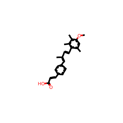 COc1cc(C)c(C=CC(C)=Cc2ccc(C=CC(=O)O)cc2)c(C)c1C